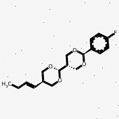 CC/C=C/[C@H]1CO[C@H]([C@H]2CO[C@H](c3ccc(F)cc3)OC2)OC1